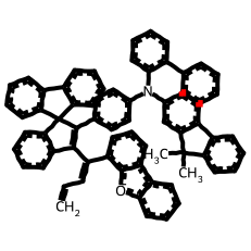 C=C/C=C(\C1=C(c2ccc(N(c3ccc4c(c3)C(C)(C)c3ccccc3-4)c3ccccc3-c3ccccc3)cc2)C2(c3ccccc31)c1ccccc1-c1ccccc12)c1cccc2c1oc1ccccc12